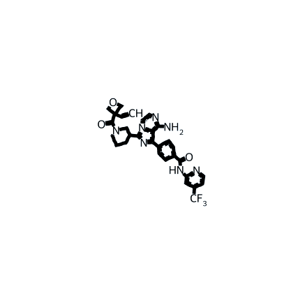 C=CC1(C(=O)N2CCCC(c3nc(-c4ccc(C(=O)Nc5cc(C(F)(F)F)ccn5)cc4)c4c(N)nccn34)C2)COC1